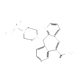 COC(=O)C1=Cc2cccnc2[C@@H](N2CCN(B(C)O)CC2)c2ccccc21